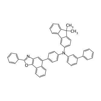 CC1(C)c2ccccc2-c2cc(N(c3ccc(-c4cc5nc(-c6ccccc6)oc5c5ccccc45)cc3)c3cccc(-c4ccccc4)c3)ccc21